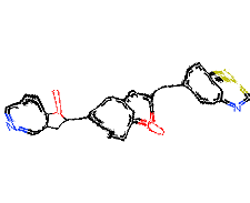 c1cc2c(cn1)CC(c1ccc3oc(-c4ccc5scnc5c4)cc3c1)O2